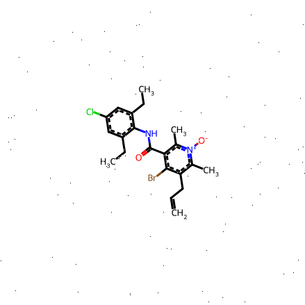 C=CCc1c(Br)c(C(=O)Nc2c(CC)cc(Cl)cc2CC)c(C)[n+]([O-])c1C